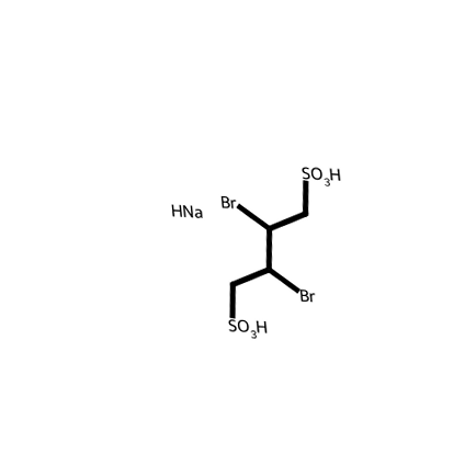 O=S(=O)(O)CC(Br)C(Br)CS(=O)(=O)O.[NaH]